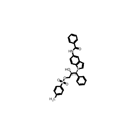 Cc1ccc(S(=O)(=O)OC[C@@H](O)[C@H](c2ccccc2)n2ccc3cc(NC(=O)c4ccccc4)ccc32)cc1